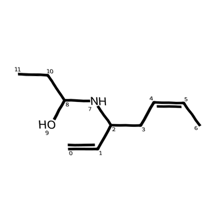 C=CC(C/C=C\C)NC(O)CC